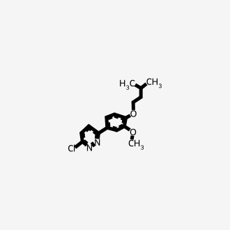 COc1cc(-c2ccc(Cl)nn2)ccc1OCCC(C)C